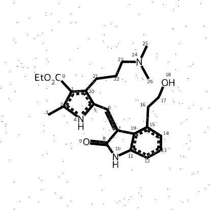 CCOC(=O)c1c(C)[nH]c(C=C2C(=O)Nc3cccc(CCO)c32)c1CCCN(C)C